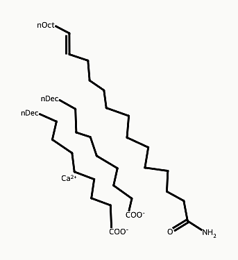 CCCCCCCCC=CCCCCCCCCCCCC(N)=O.CCCCCCCCCCCCCCCCCC(=O)[O-].CCCCCCCCCCCCCCCCCC(=O)[O-].[Ca+2]